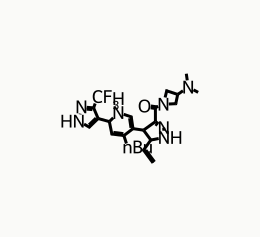 C=CC1NN=C(C(=O)N2CC(N(C)C)C2)C1C1=CNC(c2c[nH]nc2C(F)(F)F)C=C1CCCC